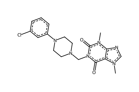 Cn1cnc2c1c(=O)n(CN1CCN(c3cccc(Cl)c3)CC1)c(=O)n2C